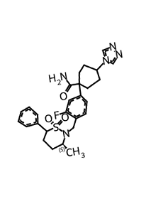 C[C@H]1CCC(c2ccccc2)S(=O)(=O)N1Cc1ccc(C2(C(N)=O)CCC(n3cnnc3)CC2)cc1F